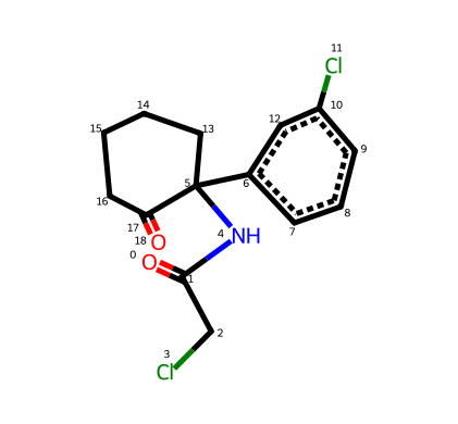 O=C(CCl)NC1(c2cccc(Cl)c2)CCCCC1=O